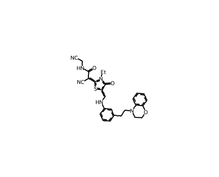 CCn1c(=C(C#N)C(=O)NCC#N)sc(=CNc2cccc(CCN3CCOc4ccccc43)c2)c1=O